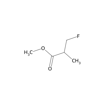 COC(=O)C(C)CF